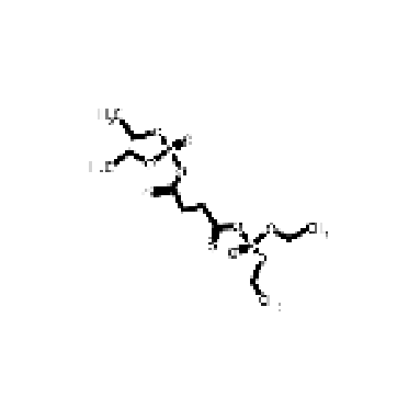 CCOP(=O)(OCC)OC(=O)CCC(=O)OP(=O)(OCC)OCC